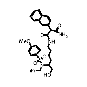 COc1ccc(S(=O)(=O)N(CC(C)C)C(CO)CCCCNC(=O)C(C(N)=O)c2ccc3ccccc3c2)cc1